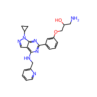 NCC(O)COc1cccc(-c2nc(NCc3ccccn3)c3cnn(C4CC4)c3n2)c1